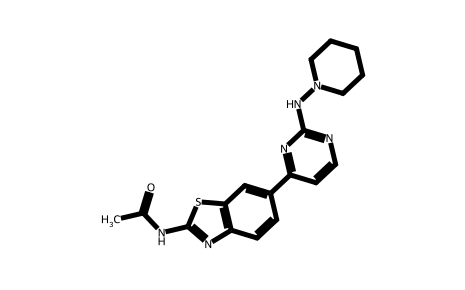 CC(=O)Nc1nc2ccc(-c3ccnc(NN4CCCCC4)n3)cc2s1